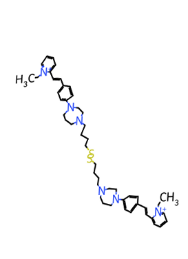 CC[n+]1ccccc1/C=C/c1ccc(N2CCCN(CCCCSSCCCCN3CCCN(c4ccc(/C=C/c5cccc[n+]5CC)cc4)CC3)CC2)cc1